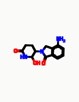 Nc1cccc2c1CN(C1CCC(=O)NC1O)C2=O